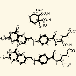 Nc1nc2ncc(CNc3ccc(C(=O)N[C@@H](CCC(=O)[O-])C(=O)O)cc3)nc2c(=O)[nH]1.Nc1nc2ncc(CNc3ccc(C(=O)N[C@@H](CCC(=O)[O-])C(=O)O)cc3)nc2c(=O)[nH]1.O=CC1(C(=O)O)C=CCCC1C(=O)O.[Ca+2]